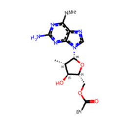 CNc1nc(N)nc2c1ncn2[C@@H]1O[C@H](COC(=O)C(C)C)[C@@H](O)[C@@H]1C